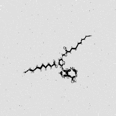 CCCCCCCCCC(=O)OC[C@@H]1C[C@@H](OC(=O)CCCCCCCCC)[C@H](n2cnc3c(O)ncnc32)O1